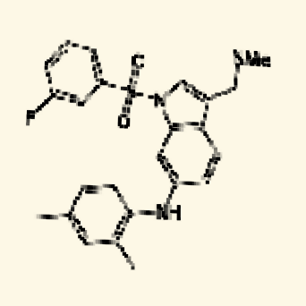 CNCc1cn(S(=O)(=O)c2cccc(F)c2)c2cc(Nc3ccc(C)cc3C)ccc12